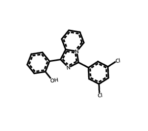 Oc1ccccc1-c1nc(-c2cc(Cl)cc(Cl)c2)n2ccccc12